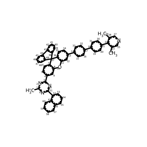 Cc1nc(-c2ccc3c(c2)Oc2cc(-c4ccc(-c5ccc(-c6c(C)cncc6C)cc5)cc4)ccc2C32c3ccccc3-c3ccccc32)nc(-c2cccc3ccccc23)n1